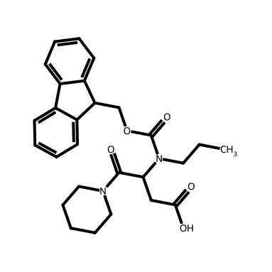 CCCN(C(=O)OCC1c2ccccc2-c2ccccc21)C(CC(=O)O)C(=O)N1CCCCC1